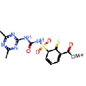 COC(=O)C1=CC=CC(S(=O)(=O)NC(=O)Nc2nc(C)nc(C)n2)C1=S